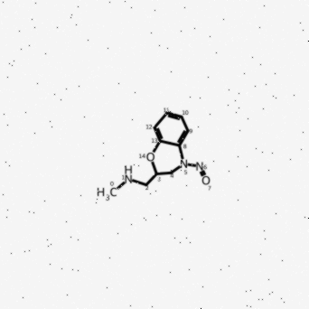 CNCC1CN(N=O)c2ccccc2O1